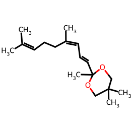 CC(C)=CCC/C(C)=C\C=C\C1(C)OCC(C)(C)CO1